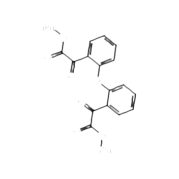 CCC(C)OC(=O)C(=O)c1ccccc1Oc1ccccc1C(=O)C(=O)OC(C)CC